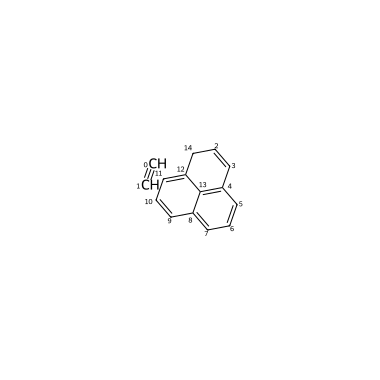 C#C.C1=Cc2cccc3cccc(c23)C1